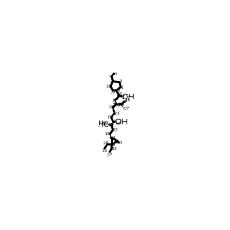 CCC1CCC(C(O)C[C@H](CCCC(O)[C@H](O)CC[C@H]2CC2(CC)CC)[C@@H](C)I)CC1